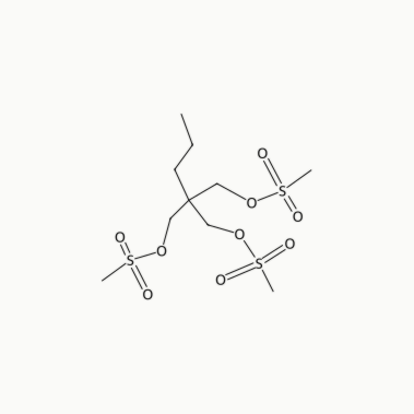 CCCC(COS(C)(=O)=O)(COS(C)(=O)=O)COS(C)(=O)=O